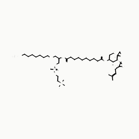 CCCCCCCCCCCCCCCCCOCC(COP(C)(=O)OCC[N+](C)(C)C)OC(=O)CCCCCCCCC(=O)OC1CC[C@]2(CO2)[C@@H]([C@@]2(C)OC2CC=C(C)C)[C@@H]1OC